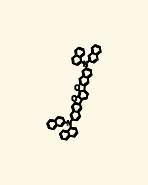 c1ccc2cc(N(c3ccc4cc5c(cc4c3)oc3c5ccc4c5cc6ccc(N(c7ccc8ccccc8c7)c7cccc8ccccc78)cc6cc5oc43)c3cccc4ccccc34)ccc2c1